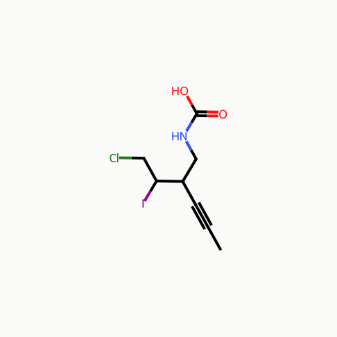 CC#CC(CNC(=O)O)C(I)CCl